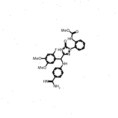 COC(=O)Nc1ccccc1-n1nc(C(Nc2ccc(C(=N)N)cc2)c2cc(OC)c(OC)cc2F)[nH]c1=O